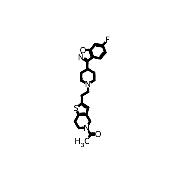 CC(=O)N1CCc2sc(CCN3CCC(c4noc5cc(F)ccc45)CC3)cc2C1